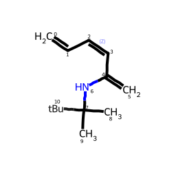 C=C/C=C\C(=C)NC(C)(C)C(C)(C)C